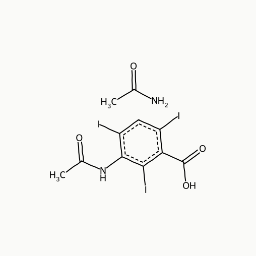 CC(=O)Nc1c(I)cc(I)c(C(=O)O)c1I.CC(N)=O